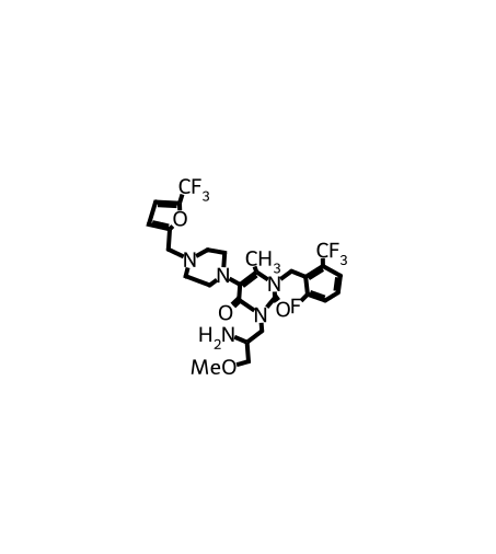 COCC(N)Cn1c(=O)c(N2CCN(Cc3ccc(C(F)(F)F)o3)CC2)c(C)n(Cc2c(F)cccc2C(F)(F)F)c1=O